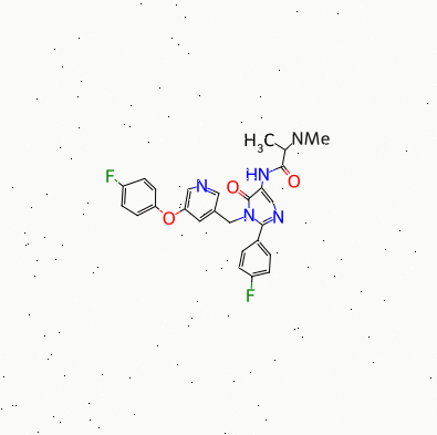 CNC(C)C(=O)Nc1cnc(-c2ccc(F)cc2)n(Cc2cncc(Oc3ccc(F)cc3)c2)c1=O